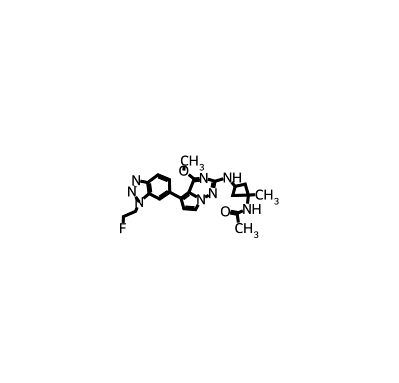 COc1nc(NC2CC(C)(NC(C)=O)C2)nn2ccc(-c3ccc4nnn(CCF)c4c3)c12